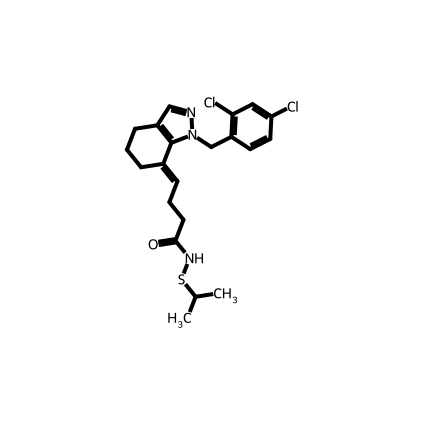 CC(C)SNC(=O)CC/C=C1\CCCc2cnn(Cc3ccc(Cl)cc3Cl)c21